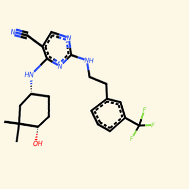 CC1(C)C[C@H](Nc2nc(NCCc3cccc(C(F)(F)F)c3)ncc2C#N)CC[C@@H]1O